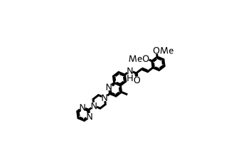 COc1cccc(C=CC(=O)Nc2ccc3nc(N4CCN(c5ncccn5)CC4)cc(C)c3c2)c1OC